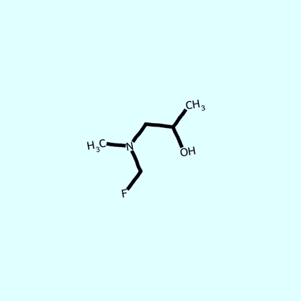 CC(O)CN(C)CF